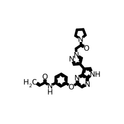 C=CC(=O)Nc1cccc(Oc2cnc3[nH]cc(-c4cnn(CC(=O)N5CCCC5)c4)c3n2)c1